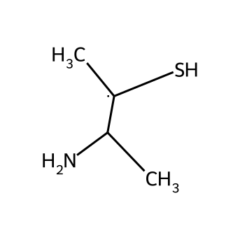 C[C](S)C(C)N